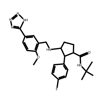 COc1ccc(-c2nnn[nH]2)cc1CNC1CCC(C(=O)NC(C)(C)C)C1c1ccc(F)cc1